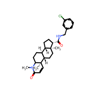 CN1C(=O)C=C[C@@]2(C)C1CC[C@H]1[C@@H]3CC[C@H](C(=O)NCc4cccc(Cl)c4)[C@@]3(C)CC[C@@H]12